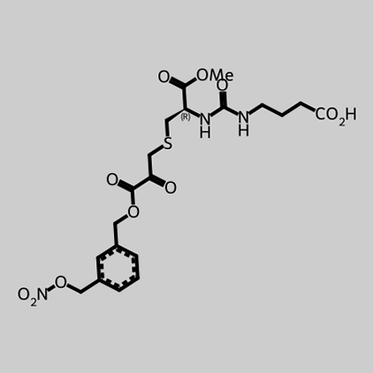 COC(=O)[C@H](CSCC(=O)C(=O)OCc1cccc(CO[N+](=O)[O-])c1)NC(=O)NCCCC(=O)O